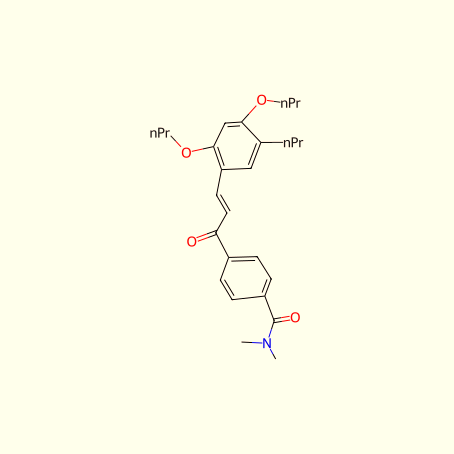 CCCOc1cc(OCCC)c(CCC)cc1C=CC(=O)c1ccc(C(=O)N(C)C)cc1